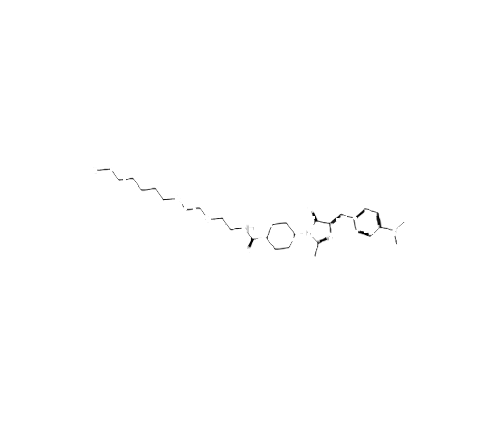 CC1=N/C(=C\c2ccc(N(C)C)cc2)C(=O)N1[C@H]1CC[C@H](C(=O)NCCOCCOCCCCCCCl)CC1